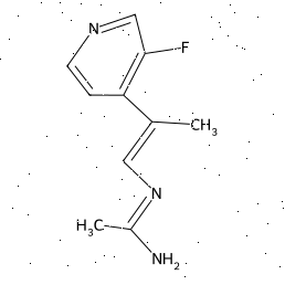 C/C(=C\N=C(/C)N)c1ccncc1F